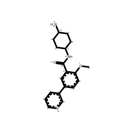 COc1ccc(-c2cccnc2)cc1C(=O)NC1CCC(N)CC1